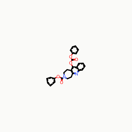 O=C(Oc1ccccc1)Oc1c2c(nc3ccccc13)CCN(C(=O)Oc1ccccc1)CC2